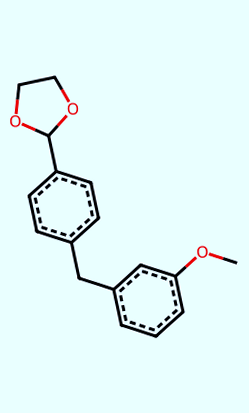 COc1cccc(Cc2ccc(C3OCCO3)cc2)c1